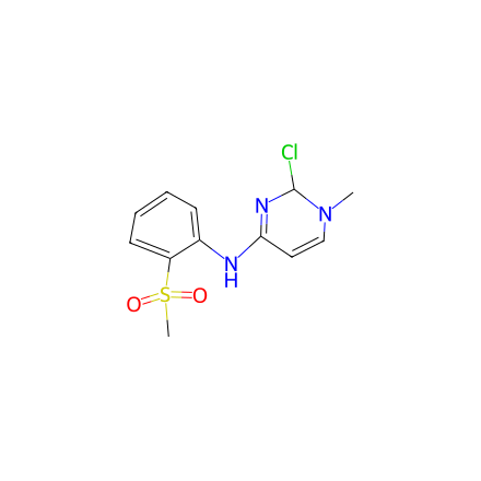 CN1C=CC(Nc2ccccc2S(C)(=O)=O)=NC1Cl